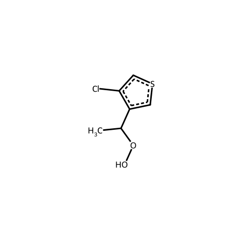 CC(OO)c1cscc1Cl